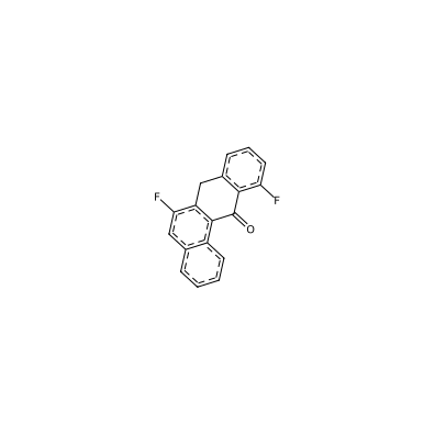 O=C1c2c(F)cccc2Cc2c(F)cc3ccccc3c21